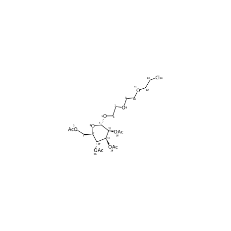 CC(=O)OC[C@H]1O[C@H](OCCOCCOCCCl)[C@@H](OC(C)=O)[C@@H](OC(C)=O)[C@@H]1OC(C)=O